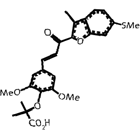 COc1cc(/C=C/C(=O)c2oc3cc(SC)ccc3c2C)cc(OC)c1OC(C)(C)C(=O)O